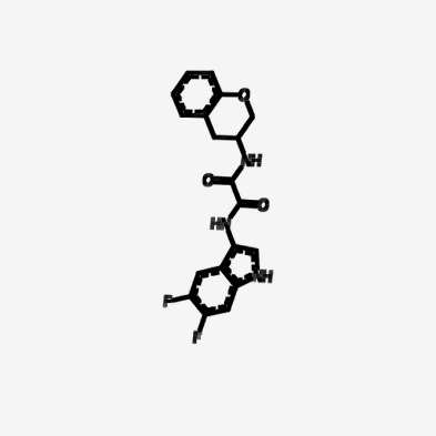 O=C(Nc1c[nH]c2cc(F)c(F)cc12)C(=O)NC1COc2ccccc2C1